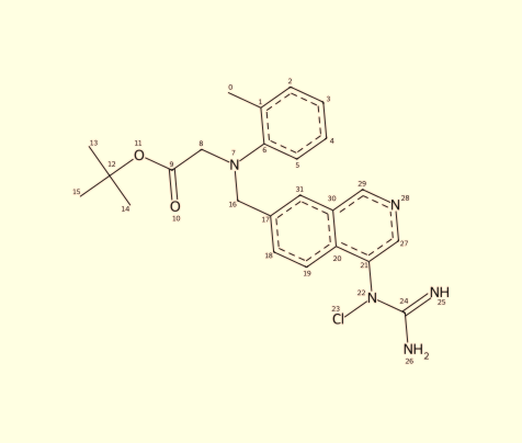 Cc1ccccc1N(CC(=O)OC(C)(C)C)Cc1ccc2c(N(Cl)C(=N)N)cncc2c1